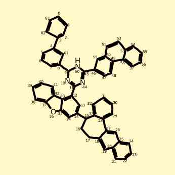 c1ccc(-c2cccc(C3N=C(c4cc(C5CCc6cc7ccccc7cc6-c6ccccc65)cc5oc6ccccc6c45)N=C(c4ccc5c(ccc6ccccc65)c4)N3)c2)cc1